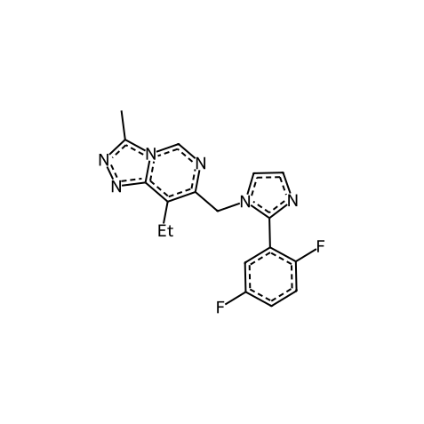 CCc1c(Cn2ccnc2-c2cc(F)ccc2F)ncn2c(C)nnc12